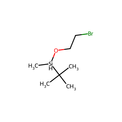 C[SiH](OCCBr)C(C)(C)C